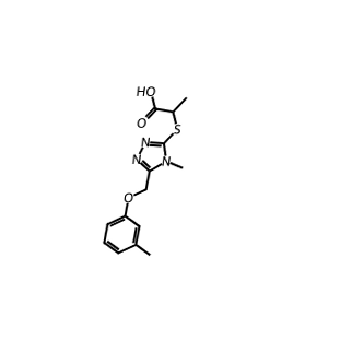 Cc1cccc(OCc2nnc(SC(C)C(=O)O)n2C)c1